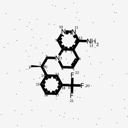 C[C@@H](CN1CC=Cc2c1cnnc2N)c1cccc(C(F)(F)F)c1